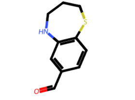 O=Cc1ccc2c(c1)NCCCS2